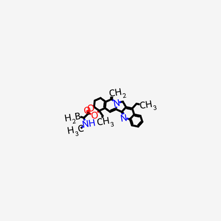 BC(NC)C(=O)OC1(CC)C(=O)CCC2=C1C=C1c3nc4ccccc4c(CC)c3CN1C2=C